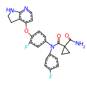 NC(=O)C1(C(=O)N(c2ccc(F)cc2)c2ccc(Oc3ccnc4c3CCN4)c(F)c2)CC1